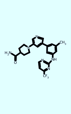 Cc1cc(Nc2nccc(C(F)(F)F)n2)cc(-c2cncc(N3CCC(C(N)=O)CC3)c2)c1